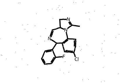 CC1=NCC2C=NC(c3ccccc3F)c3cc(Cl)ccc3N12